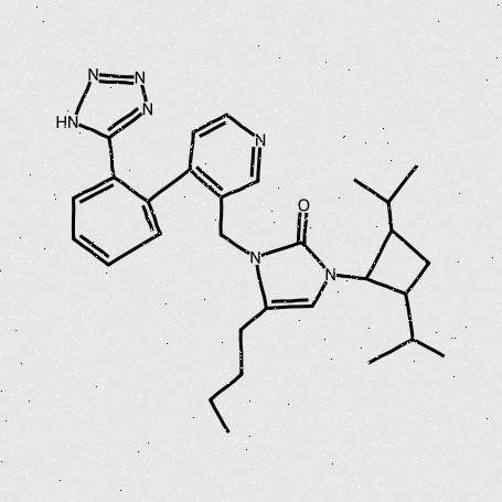 CCCCc1cn(C2C(C(C)C)CC2C(C)C)c(=O)n1Cc1cnccc1-c1ccccc1-c1nnn[nH]1